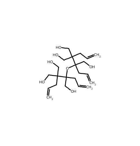 C=CCC(CO)(CO)C(CO)(CC=C)OC(CO)(CC=C)C(CO)(CO)CC=C